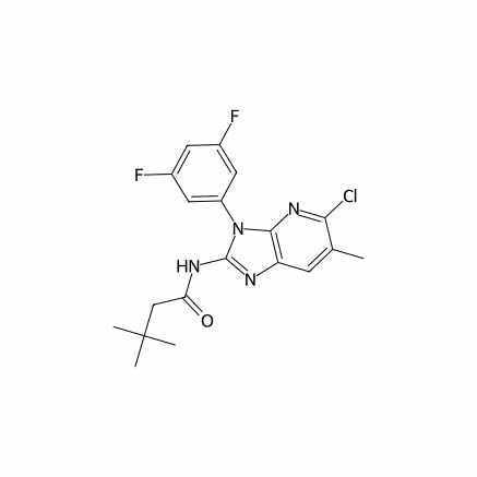 Cc1cc2nc(NC(=O)CC(C)(C)C)n(-c3cc(F)cc(F)c3)c2nc1Cl